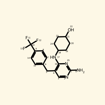 Nc1ncc(Cc2ccc(C(F)(F)F)cc2)c(NC2CCC(O)CC2)n1